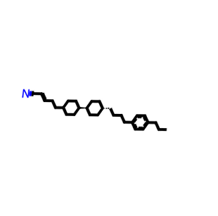 CCCc1ccc(CCCC[C@H]2CC[C@H](C3CCC(CC/C=C/C#N)CC3)CC2)cc1